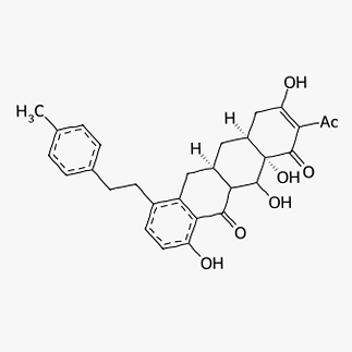 CC(=O)C1=C(O)C[C@@H]2C[C@@H]3Cc4c(CCc5ccc(C)cc5)ccc(O)c4C(=O)C3C(O)[C@]2(O)C1=O